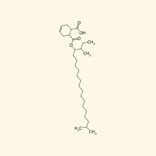 CCC(C)C(CCCCCCCCCCCCCCC(C)C)OC(=O)C1CC=CCC1C(=O)O